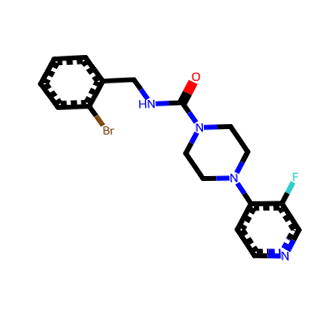 O=C(NCc1ccccc1Br)N1CCN(c2ccncc2F)CC1